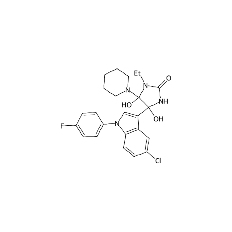 CCN1C(=O)NC(O)(c2cn(-c3ccc(F)cc3)c3ccc(Cl)cc23)C1(O)N1CCCCC1